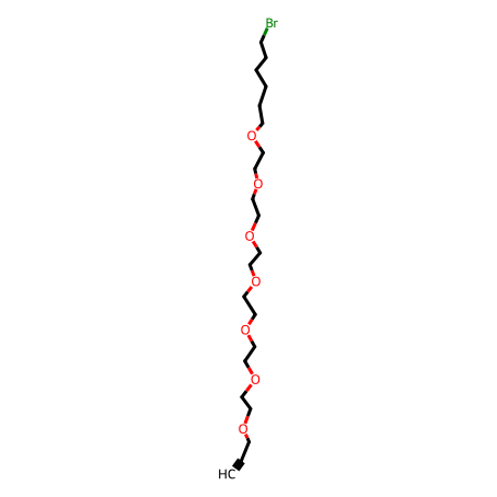 C#CCOCCOCCOCCOCCOCCOCCOCCCCCCBr